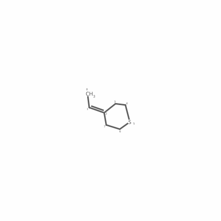 CC=C1CCSCC1